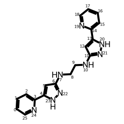 c1ccc(-c2cc(NCCNc3cc(-c4ccccn4)[nH]n3)n[nH]2)nc1